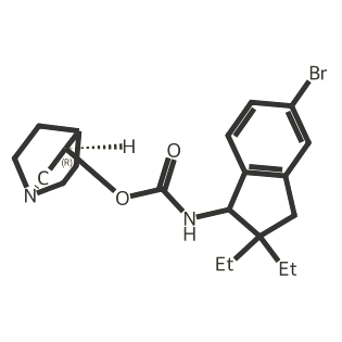 CCC1(CC)Cc2cc(Br)ccc2C1NC(=O)O[C@H]1CN2CCC1CC2